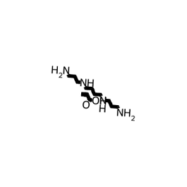 C=CC(=O)O.NCCCNCCCCNCCCN